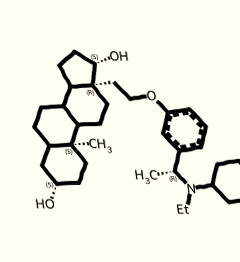 CCN(C1CCCCC1)[C@H](C)c1cccc(OCC[C@]23CCC4C(CCC5C[C@@H](O)CC[C@@]54C)C2CC[C@@H]3O)c1